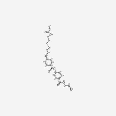 C=CC(=O)OCCCCCCOc1ccc(C(=O)Oc2ccc(C(=O)OCOCC)cc2)cc1